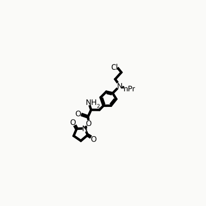 CCCN(CCCl)c1ccc(CC(N)C(=O)ON2C(=O)CCC2=O)cc1